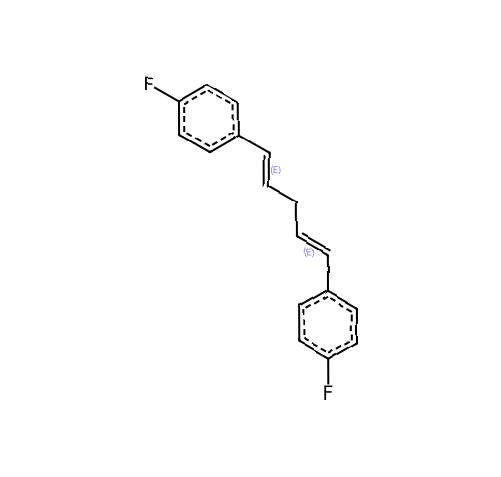 Fc1ccc(/C=C/C/C=C/c2ccc(F)cc2)cc1